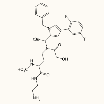 CC(C)(C)C(c1cc(-c2cc(F)ccc2F)cn1Cc1ccccc1)N(CCC(NC(=O)O)C(=O)NCCN)C(=O)CO